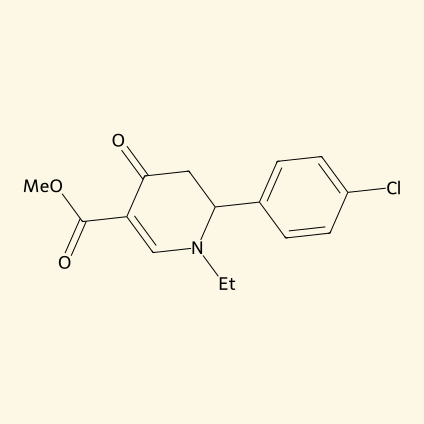 CCN1C=C(C(=O)OC)C(=O)CC1c1ccc(Cl)cc1